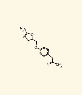 CC(=O)Cc1ccc(OCC2CN=C(N)O2)cc1